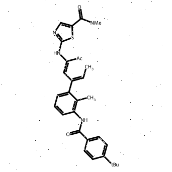 C/C=C(\C=C(\Nc1ncc(C(=O)NC)s1)C(C)=O)c1cccc(NC(=O)c2ccc(C(C)(C)C)cc2)c1C